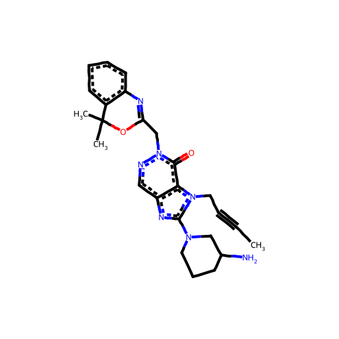 CC#CCn1c(N2CCCC(N)C2)nc2cnn(CC3=Nc4ccccc4C(C)(C)O3)c(=O)c21